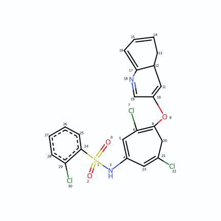 O=S(=O)(NC1=CC(Cl)=C(OC2=CC3CC=CC=C3N=C2)CC(Cl)=C1)c1ccccc1Cl